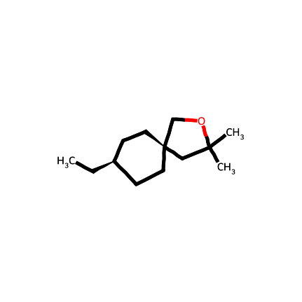 CC[C@H]1CC[C@@]2(CC1)COC(C)(C)C2